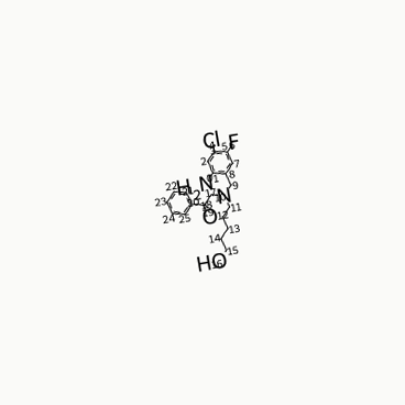 Nc1cc(Cl)c(F)cc1CN(CCCCCO)CC(=O)c1ccccc1